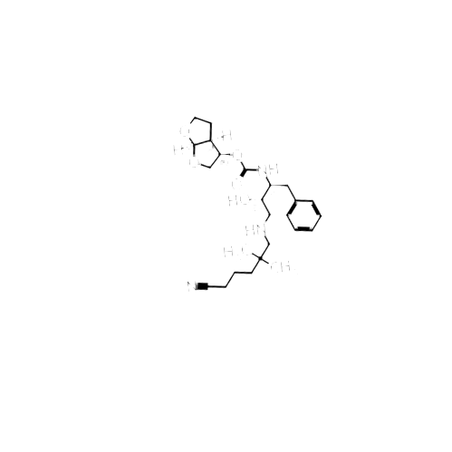 CC(C)(CCCC#N)CNC[C@H](O)[C@H](Cc1ccccc1)NC(=O)O[C@H]1CO[C@H]2OCC[C@H]21